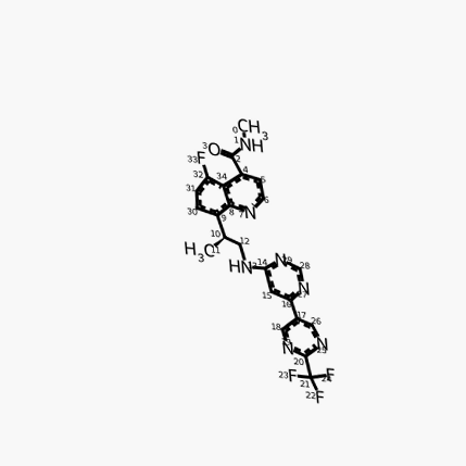 CNC(=O)c1ccnc2c([C@H](C)CNc3cc(-c4cnc(C(F)(F)F)nc4)ncn3)ccc(F)c12